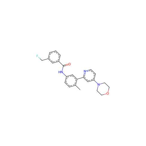 Cc1ccc(NC(=O)c2cccc(CF)c2)cc1-c1cc(N2CCOCC2)ccn1